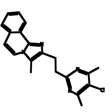 Cc1nc(CCc2nc3c4ccccc4ccn3c2C)nc(C)c1Cl